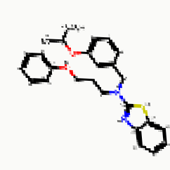 CCC(Oc1cccc(CN(CCCOc2ccccc2)c2nc3ccccc3s2)c1)C(=O)O